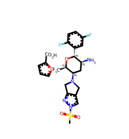 CS(=O)(=O)n1cc2c(n1)CN([C@@H]1C[C@H](N)[C@@H](c3cc(F)ccc3F)O[C@@H]1C(F)(F)F)C2.O=C(O)c1ccco1